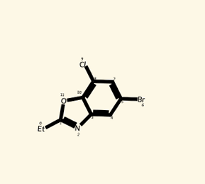 CCc1nc2cc(Br)cc(Cl)c2o1